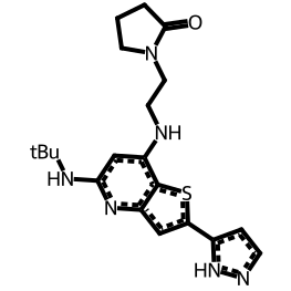 CC(C)(C)Nc1cc(NCCN2CCCC2=O)c2sc(-c3ccn[nH]3)cc2n1